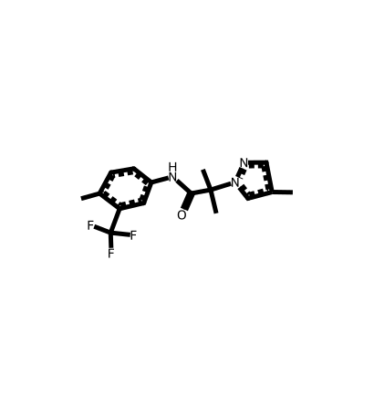 Cc1cnn(C(C)(C)C(=O)Nc2ccc(C)c(C(F)(F)F)c2)c1